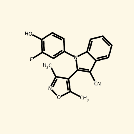 Cc1noc(C)c1-c1c(C#N)c2ccccc2n1-c1ccc(O)c(F)c1